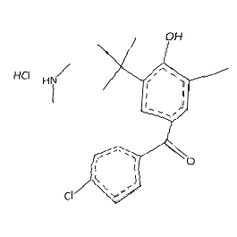 CNC.Cc1cc(C(=O)c2ccc(Cl)cc2)cc(C(C)(C)C)c1O.Cl